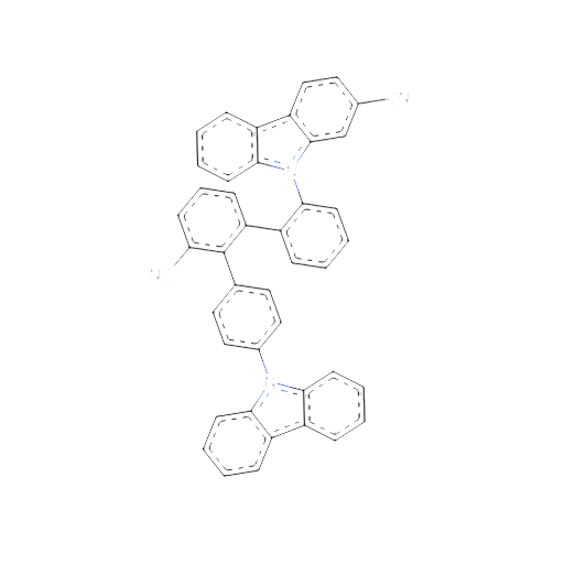 N#Cc1ccc2c3ccccc3n(-c3ccccc3-c3cccc(C#N)c3-c3ccc(-n4c5ccccc5c5ccccc54)cc3)c2c1